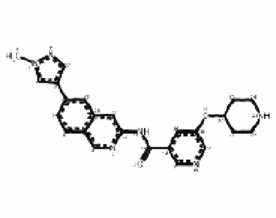 Cn1cc(-c2ccc3cnc(NC(=O)c4cncc(OC5CCNCC5)c4)cc3c2)cn1